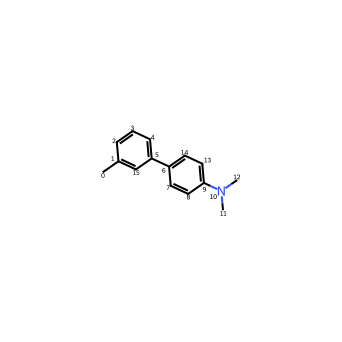 Cc1cccc(-c2ccc(N(C)C)cc2)c1